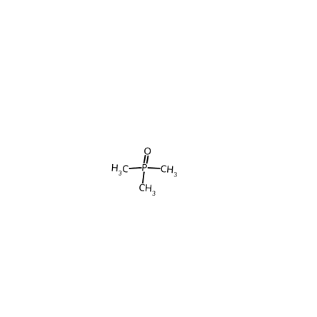 CP(C)(C)=O